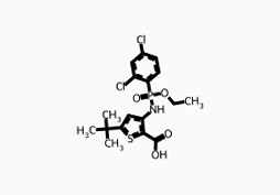 CCOP(=O)(Nc1cc(C(C)(C)C)sc1C(=O)O)c1ccc(Cl)cc1Cl